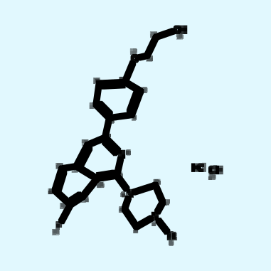 CCN1CCN(c2nc(-c3ccc(OCCO)cc3)cc3ccc(F)cc23)CC1.Cl.Cl